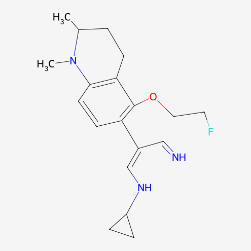 CC1CCc2c(ccc(/C(C=N)=C/NC3CC3)c2OCCF)N1C